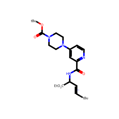 CCOC(=O)C(/C=C/C(C)(C)C)NC(=O)c1cc(N2CCN(C(=O)OC(C)(C)C)CC2)ccn1